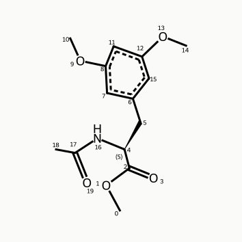 COC(=O)[C@H](Cc1cc(OC)cc(OC)c1)NC(C)=O